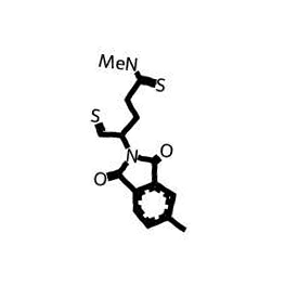 CNC(=S)CCC(C=S)N1C(=O)c2ccc(C)cc2C1=O